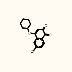 O=C1C=C(OC2CCCCC2)c2cc(Cl)ccc2C1=O